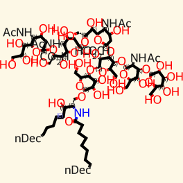 CCCCCCCCCCCCC/C=C/[C@@H](O)[C@H](CO[C@@H]1OC(CO)[C@@H](O[C@@H]2OC(CO)[C@H](O[C@@H]3OC(CO)[C@H](O)[C@H](O[C@@H]4OC(CO)[C@H](O)[C@H](O)C4O)C3NC(C)=O)[C@H](O[C@]3(C(=O)O)CC(O)[C@@H](NC(C)=O)C([C@H](O)[C@@H](CO)O[C@]4(C(=O)O)CC(O)[C@@H](NC(C)=O)C([C@H](O)[C@@H](CO)O[C@]5(C(=O)O)CC(O)[C@@H](NC(C)=O)C([C@H](O)[C@H](O)CO)O5)O4)O3)C2O)[C@H](O)C1O)NC(=O)CCCCCCCCCCCCCCCCC